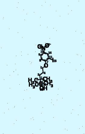 CC(C)(CCCOc1ccc([N+](=O)[O-])cc1I)[Si](C)(C)O